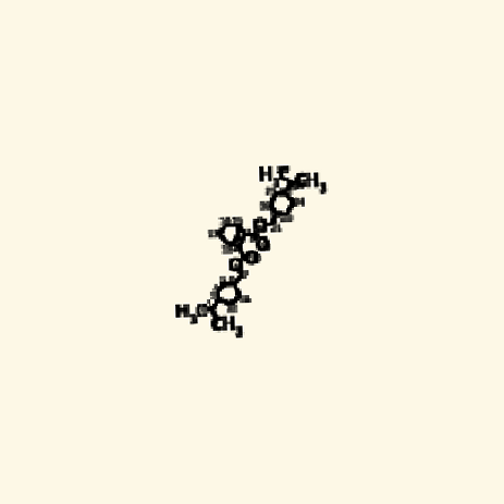 CC(C)C1CCC(COC(=O)C2C3CCC(C3)C2C(=O)OCC2CCC(C(C)C)CC2)CC1